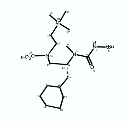 CN(C(=O)NC(C)(C)C)[C@H](CC1CCCCC1)CN(CC[Si](C)(C)C)C(=O)O